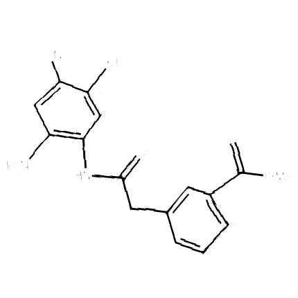 COC(=O)c1cccc(CC(=O)Nc2cc(C(F)(F)F)c(C#N)cc2N)c1